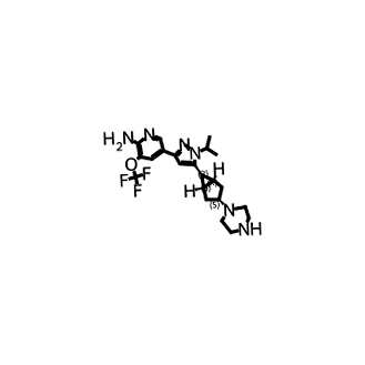 CC(C)n1nc(-c2cnc(N)c(OC(F)(F)F)c2)cc1[C@H]1[C@@H]2C[C@@H](N3CCNCC3)C[C@@H]21